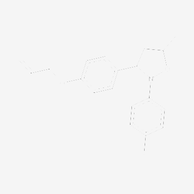 C=CCOc1ccc(C2CC(C)ON2c2ccc(F)cc2)cc1